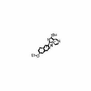 CCOc1ccc2cc(C3=NC(C(C)(C)C)=C4C=NC=C[N+]34N)ccc2c1